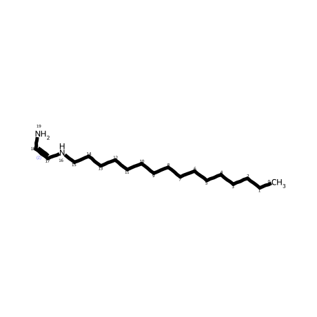 CCCCCCCCCCCCCCCCN/C=C\N